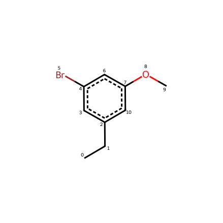 CCc1cc(Br)cc(OC)c1